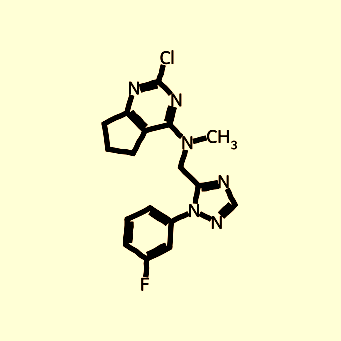 CN(Cc1ncnn1-c1cccc(F)c1)c1nc(Cl)nc2c1CCC2